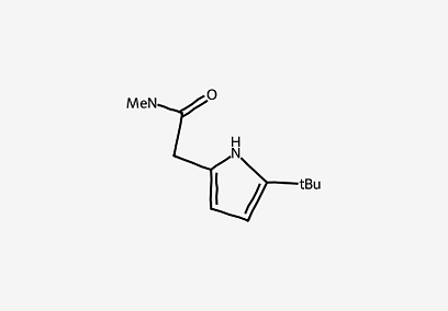 CNC(=O)Cc1ccc(C(C)(C)C)[nH]1